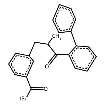 CC(Cc1cccc(C(=O)C(C)(C)C)c1)C(=O)c1ccccc1-c1ccccc1